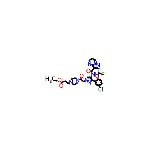 CCOC(=O)CCN1CCN(C(=O)Cn2cc(NC(=O)c3cnn4cccnc34)c(-c3cc(Cl)ccc3OC(F)F)n2)CC1